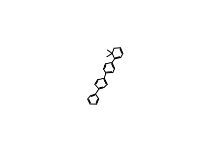 CC1(C)CC=CC=C1c1ccc(-c2ccc(-c3ccccc3)cc2)cc1